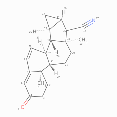 C[C@]12CCC(=O)C=C1C=C[C@H]1[C@@H]3[C@H]4C[C@H]4C(C#N)[C@@]3(C)CC[C@@H]12